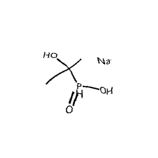 CC(C)(O)[PH](=O)O.[Na]